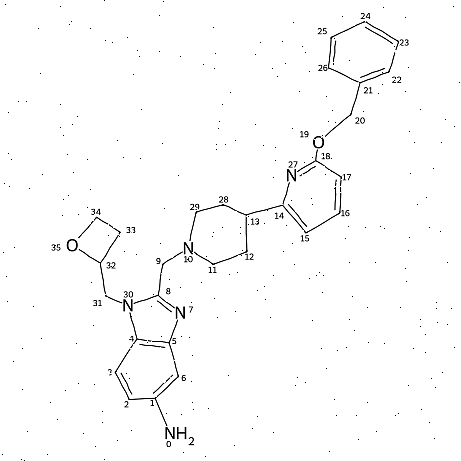 Nc1ccc2c(c1)nc(CN1CCC(c3cccc(OCc4ccccc4)n3)CC1)n2CC1CCO1